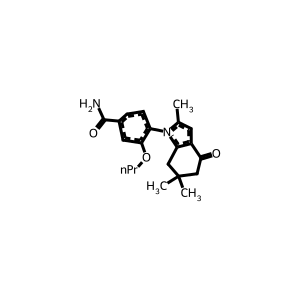 CCCOc1cc(C(N)=O)ccc1-n1c(C)cc2c1CC(C)(C)CC2=O